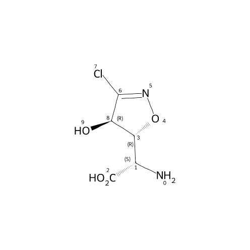 N[C@H](C(=O)O)[C@H]1ON=C(Cl)[C@@H]1O